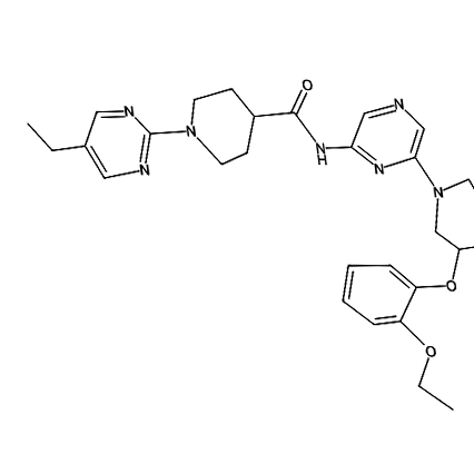 CCOc1ccccc1OC1CCCN(c2cncc(NC(=O)C3CCN(c4ncc(CC)cn4)CC3)n2)C1